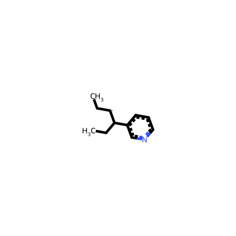 CC[CH]C(CC)c1cccnc1